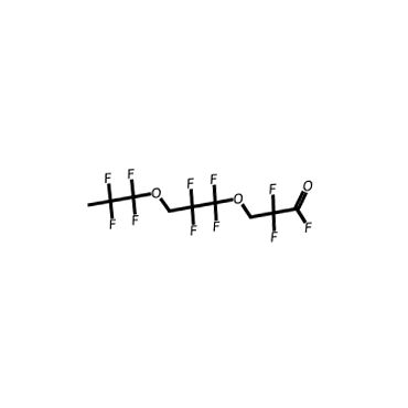 CC(F)(F)C(F)(F)OCC(F)(F)C(F)(F)OCC(F)(F)C(=O)F